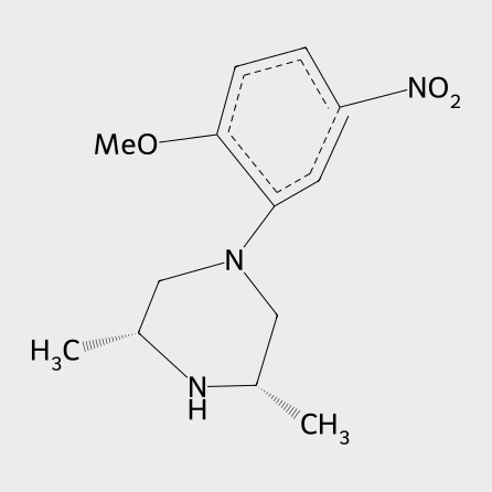 COc1ccc([N+](=O)[O-])cc1N1C[C@@H](C)N[C@@H](C)C1